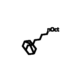 [CH2]CCCCCCCCCCCC12CC3CC(CC(C3)C1)C2